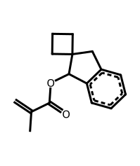 C=C(C)C(=O)OC1c2ccccc2CC12CCC2